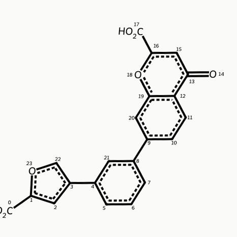 O=C(O)c1cc(-c2cccc(-c3ccc4c(=O)cc(C(=O)O)oc4c3)c2)co1